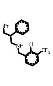 CC(C)CC(CNCc1cccc(C(F)(F)F)c1Cl)c1ccccc1